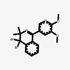 COc1cc(C2=NC(C)(C)C(Br)(Br)c3ccccc32)cnc1OC